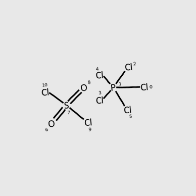 ClP(Cl)(Cl)(Cl)Cl.O=S(=O)(Cl)Cl